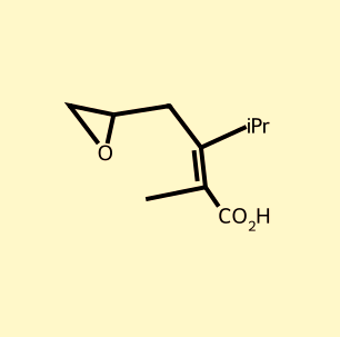 CC(C(=O)O)=C(CC1CO1)C(C)C